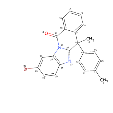 Cc1ccc(C2(C)c3ccccc3C(=O)n3c2nc2ccc(Br)cc23)cc1